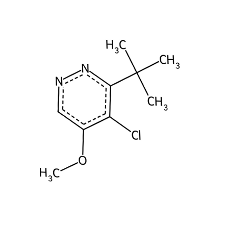 COc1cnnc(C(C)(C)C)c1Cl